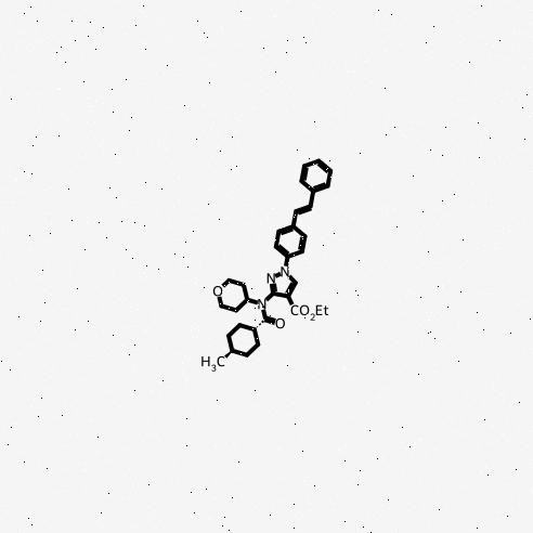 CCOC(=O)c1cn(-c2ccc(/C=C/c3ccccc3)cc2)nc1N(C(=O)[C@H]1CC[C@H](C)CC1)C1CCOCC1